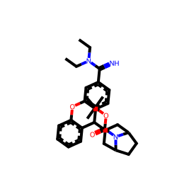 CCN(CC)C(=N)c1ccc2c(c1)Oc1ccccc1C2C1CC2CCC(C1)N2C(=O)OC(C)(C)C